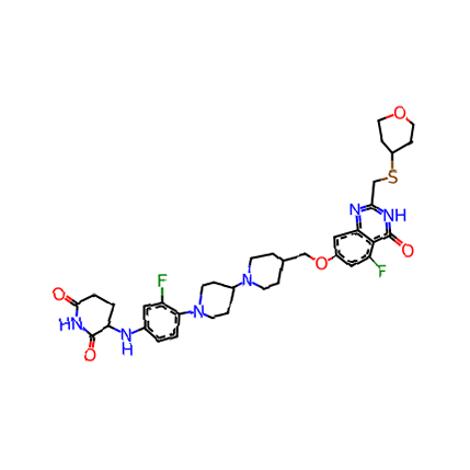 O=C1CCC(Nc2ccc(N3CCC(N4CCC(COc5cc(F)c6c(=O)[nH]c(CSC7CCOCC7)nc6c5)CC4)CC3)c(F)c2)C(=O)N1